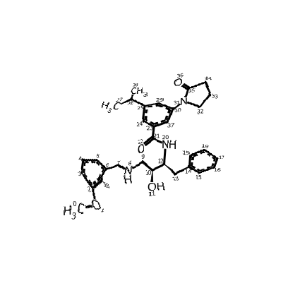 COc1cccc(CNC[C@H](O)[C@H](Cc2ccccc2)NC(=O)c2cc(C(C)C)cc(N3CCCC3=O)c2)c1